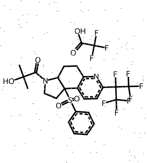 CC(C)(O)C(=O)N1CCC2(S(=O)(=O)c3ccccc3)c3ccc(C(F)(C(F)(F)F)C(F)(F)F)nc3CCC12.O=C(O)C(F)(F)F